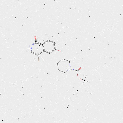 CC(C)(C)OC(=O)N1CCC[C@H](Oc2ccc3c(=O)[nH]cc(Br)c3c2)C1